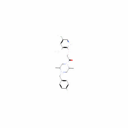 CC1CN(C(=O)COc2ncc(Cl)cc2C=O)C(C)CN1Cc1ccc(F)cc1